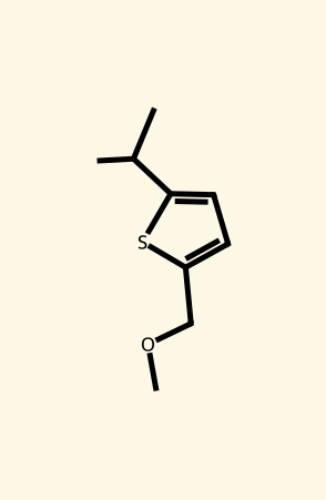 COCc1ccc(C(C)C)s1